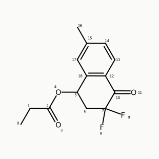 CCC(=O)OC1CC(F)(F)C(=O)c2ccc(C)cc21